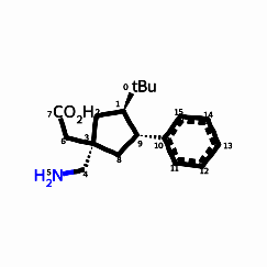 CC(C)(C)[C@@H]1C[C@](CN)(CC(=O)O)C[C@H]1c1ccccc1